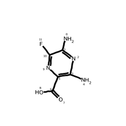 Nc1nc(N)c(C(=O)O)nc1F